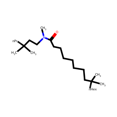 CCCCCCC(C)(C)CCCCCCCC(=O)N(C)CCC(C)(C)CCC